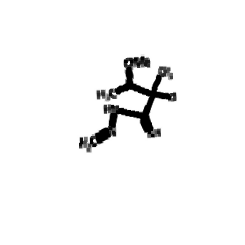 C=NNC(=N)C(C)(Cl)C(C)OC